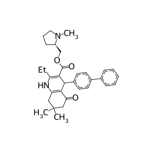 CCC1=C(C(=O)OC[C@H]2CCCN2C)C(c2ccc(-c3ccccc3)cc2)C2=C(CC(C)(C)CC2=O)N1